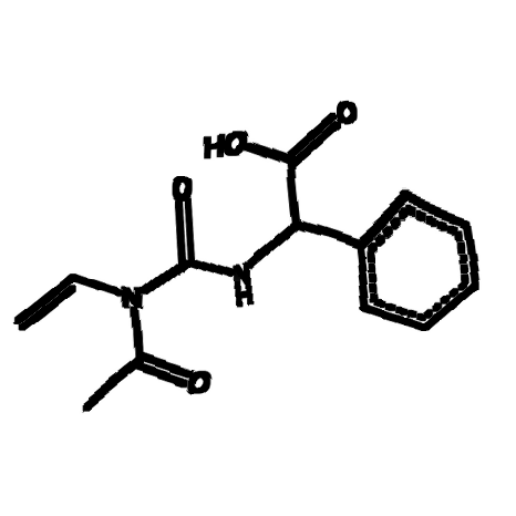 C=CN(C(C)=O)C(=O)NC(C(=O)O)c1ccccc1